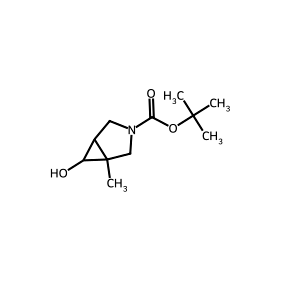 CC(C)(C)OC(=O)N1CC2C(O)C2(C)C1